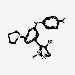 Cn1ncc(Br)c1-c1cc(Nc2ccc(Cl)cc2)cc(N2CCCC2)c1